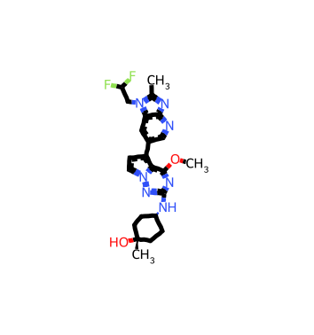 COc1nc(N[C@H]2CC[C@@](C)(O)CC2)nn2ccc(-c3cnc4nc(C)n(CC(F)F)c4c3)c12